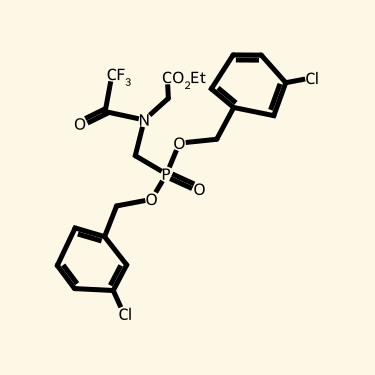 CCOC(=O)CN(CP(=O)(OCc1cccc(Cl)c1)OCc1cccc(Cl)c1)C(=O)C(F)(F)F